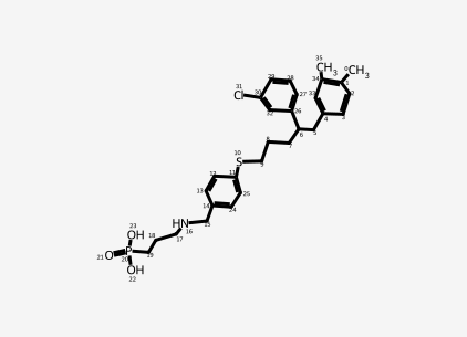 Cc1ccc(CC(CCCSc2ccc(CNCCCP(=O)(O)O)cc2)c2cccc(Cl)c2)cc1C